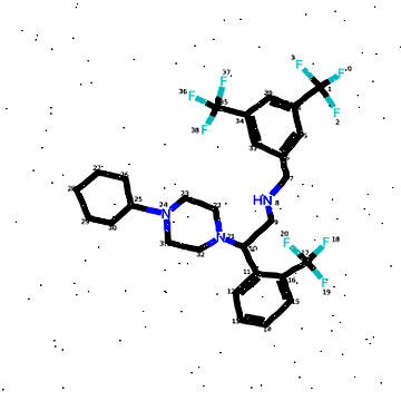 FC(F)(F)c1cc(CNCC(c2ccccc2C(F)(F)F)N2CCN(C3CCCCC3)CC2)cc(C(F)(F)F)c1